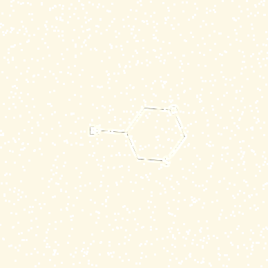 CC[C]1COCSC1